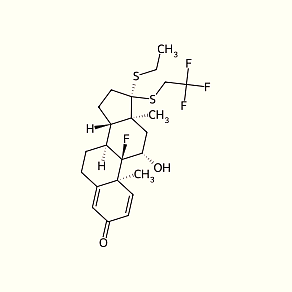 CCS[C@@]1(SCC(F)(F)F)CC[C@H]2[C@@H]3CCC4=CC(=O)C=C[C@]4(C)[C@@]3(F)[C@@H](O)C[C@@]21C